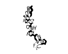 Cc1cc(Cn2c(=O)c3c(ncn3C(C)C(=O)Nc3cncc(-c4cnc(N5CCCC5C(F)(F)F)nc4)n3)n(C)c2=O)no1